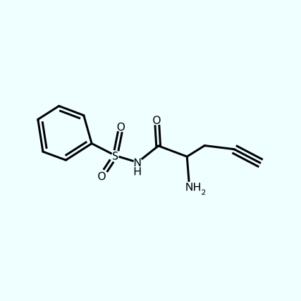 C#CCC(N)C(=O)NS(=O)(=O)c1ccccc1